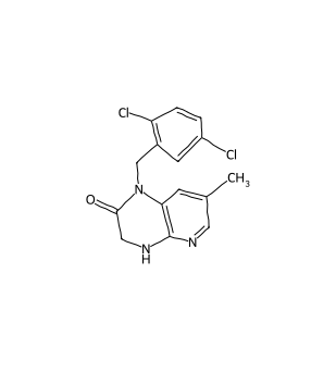 Cc1cnc2c(c1)N(Cc1cc(Cl)ccc1Cl)C(=O)CN2